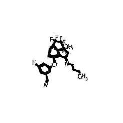 CCCCN=C1C[C@@]2(O)c3c(ccc(Oc4cc(F)cc(C#N)c4)c31)C(F)(F)C2(F)F